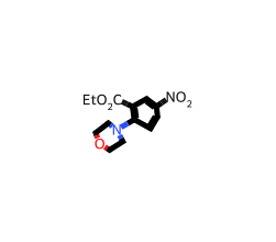 CCOC(=O)c1cc([N+](=O)[O-])ccc1N1CCOCC1